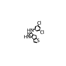 Clc1cc(Cl)cc(Nc2n[nH]c3c2Cc2sccc2-3)c1